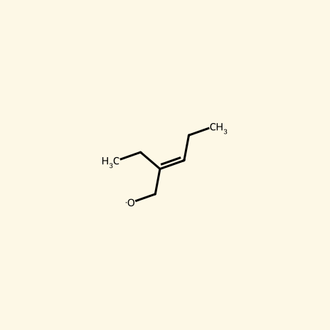 CC/C=C(\CC)C[O]